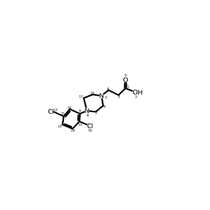 O=C(O)CCN1CCN(c2cc(Cl)ccc2Cl)CC1